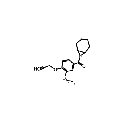 C#CCOc1ccc(C(=O)N2C3CCCCC32)cc1OC